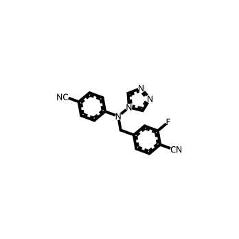 N#Cc1ccc(N(Cc2ccc(C#N)c(F)c2)n2cnnc2)cc1